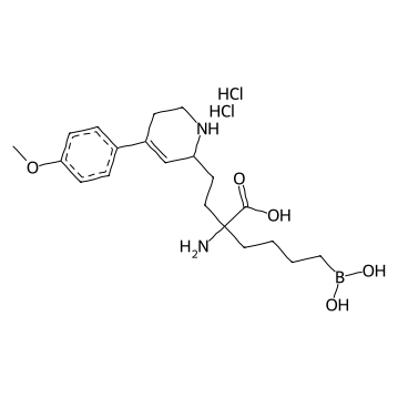 COc1ccc(C2=CC(CCC(N)(CCCCB(O)O)C(=O)O)NCC2)cc1.Cl.Cl